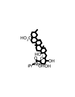 CC(C)CNC(=O)C1OC(CC2CCC3(C)C4CC=C5C6CC(C)CCC6(C(=O)O)CCC5C4(C)CCC3[C@]2(C)O)C(O)C(O)C1O